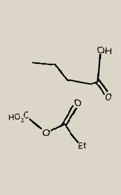 CCC(=O)OC(=O)O.CCCC(=O)O